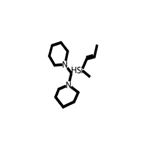 CC=C[SiH](C)C(N1CCCCC1)N1CCCCC1